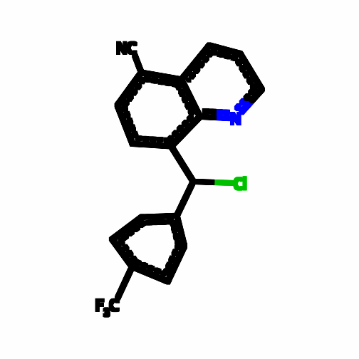 N#Cc1ccc(C(Cl)c2ccc(C(F)(F)F)cc2)c2ncccc12